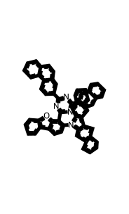 c1ccc2cc(-c3nc(-c4ccc5c(ccc6ccccc65)c4)nc(-c4c(-n5c6cc7ccccc7cc6c6cc7ccccc7cc65)ccc5c4oc4ccccc45)n3)ccc2c1